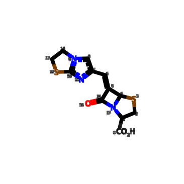 O=C(O)C1CSC2C(=Cc3cn4c(n3)SCC4)C(=O)N12